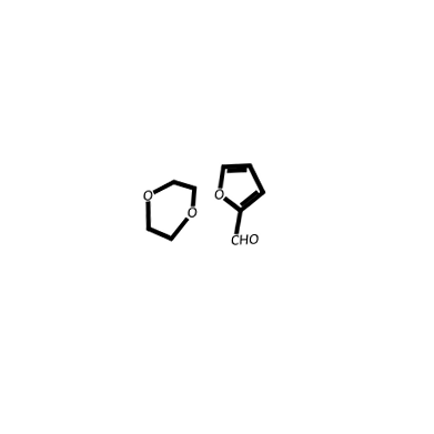 C1COCCO1.O=Cc1ccco1